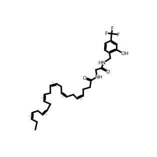 CC/C=C\C/C=C\C/C=C\C/C=C\C/C=C\C/C=C\CCC(=O)NCC(=O)NCc1ccc(C(F)(F)F)cc1O